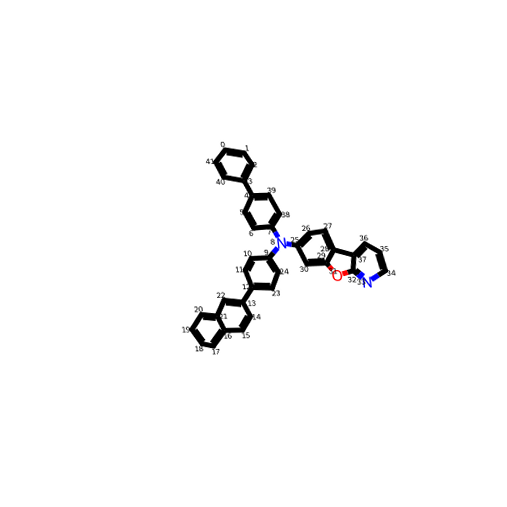 c1ccc(-c2ccc(N(c3ccc(-c4ccc5ccccc5c4)cc3)c3ccc4c(c3)oc3ncccc34)cc2)cc1